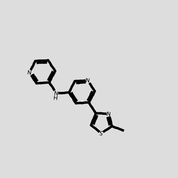 Cc1nc(-c2cncc(Nc3cccnc3)c2)cs1